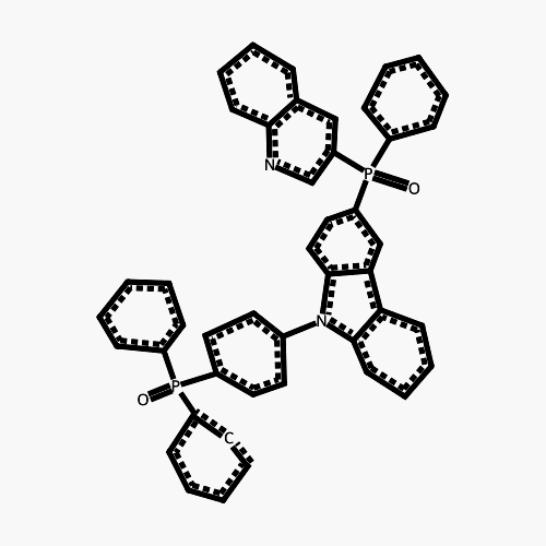 O=P(c1ccccc1)(c1ccccc1)c1ccc(-n2c3ccccc3c3cc(P(=O)(c4ccccc4)c4cnc5ccccc5c4)ccc32)cc1